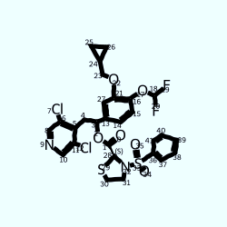 O=C(OC(Cc1c(Cl)cncc1Cl)c1ccc(OC(F)F)c(OCC2CC2)c1)[C@@H]1SCCN1S(=O)(=O)c1ccccc1